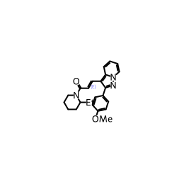 CCC1CCCCN1C(=O)/C=C/c1c(-c2ccc(OC)cc2)nn2ccccc12